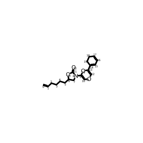 C=CCCCCC1CN(C2=COC=C(C3=CC=CCC3)O2)C(=O)O1